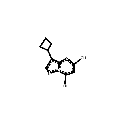 Oc1cc(O)n2ncc(C3CCC3)c2n1